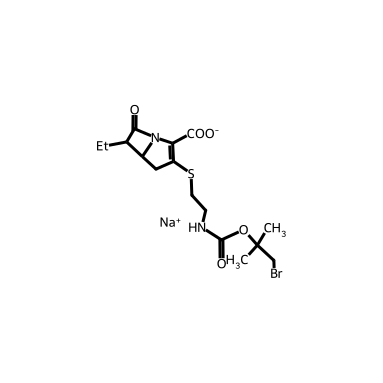 CCC1C(=O)N2C(C(=O)[O-])=C(SCCNC(=O)OC(C)(C)CBr)CC12.[Na+]